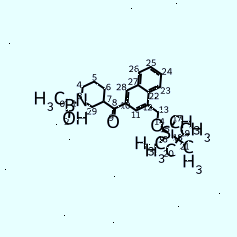 CB(O)N1CCCC(C(=O)c2cc(CO[Si](C)(C)C(C)(C)C)c3ccccc3c2)C1